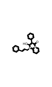 O=c1c(-c2ccccc2)c(O)[n+](CC=Cc2ccccc2)c2ccccn12